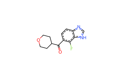 O=C(c1ccc2nc[nH]c2c1F)C1CCOCC1